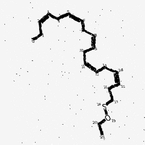 CC/C=C\C/C=C\C/C=C\C/C=C\C/C=C\CCSOCC